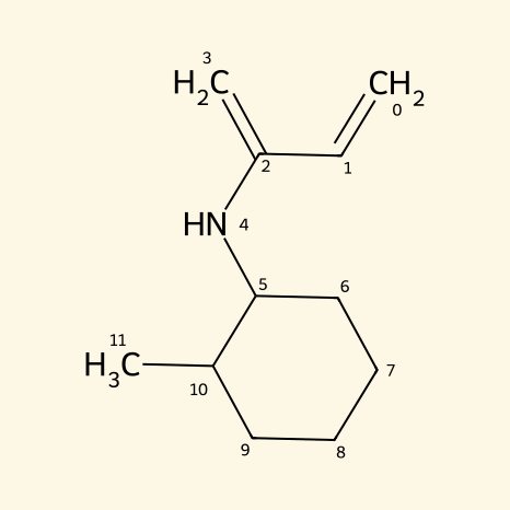 C=CC(=C)NC1CCCCC1C